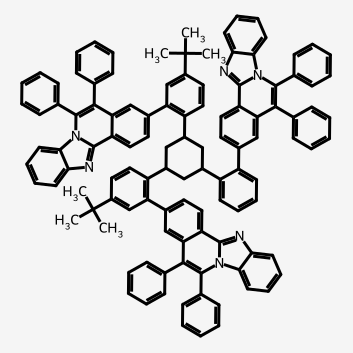 CC(C)(C)c1ccc(C2CC(c3ccccc3-c3ccc4c(c3)c(-c3ccccc3)c(-c3ccccc3)n3c5ccccc5nc43)CC(c3ccc(C(C)(C)C)cc3-c3ccc4c(c3)c(-c3ccccc3)c(-c3ccccc3)n3c5ccccc5nc43)C2)c(-c2ccc3c(c2)c(-c2ccccc2)c(-c2ccccc2)n2c4ccccc4nc32)c1